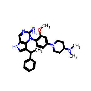 COc1cc(N2CCC(N(C)C)CC2)ccc1N1c2c(C(C)c3ccccc3)c[nH]c2C=NC1N